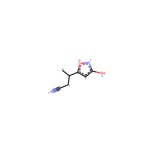 CC(CC#N)c1cc(O)no1